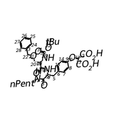 CCCCCNC(=O)[C@H](Cc1ccc(OC(C(=O)O)C(=O)O)cc1)NC(=O)[C@H](COCc1ccccc1)NC(=O)OC(C)(C)C